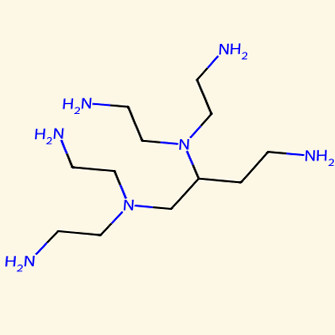 NCCC(CN(CCN)CCN)N(CCN)CCN